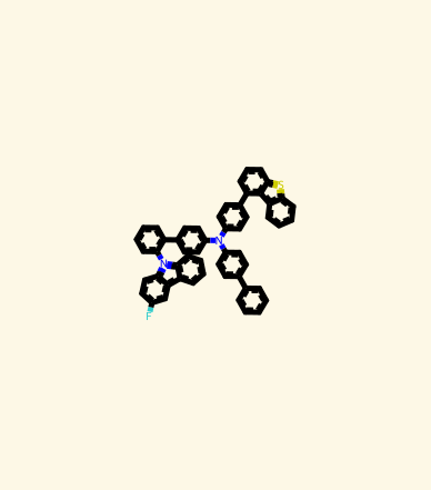 Fc1ccc2c(c1)c1ccccc1n2-c1ccccc1-c1ccc(N(c2ccc(-c3ccccc3)cc2)c2ccc(-c3cccc4sc5ccccc5c34)cc2)cc1